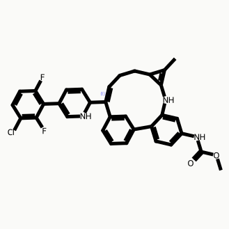 COC(=O)Nc1ccc2c(c1)NC1=C(C)C1CC/C=C(/C1C=CC(c3c(F)ccc(Cl)c3F)=CN1)c1cccc-2c1